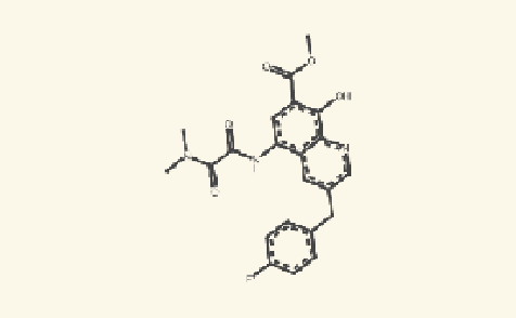 COC(=O)c1cc(NC(=O)C(=O)N(C)C)c2cc(Cc3ccc(F)cc3)cnc2c1O